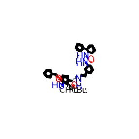 CC(C)(C)[Si](C)(C)O[C@@H](CNCCc1cccc(NC(=O)Nc2ccccc2-c2ccccc2)c1)c1ccc(OCc2ccccc2)c(NC=O)c1